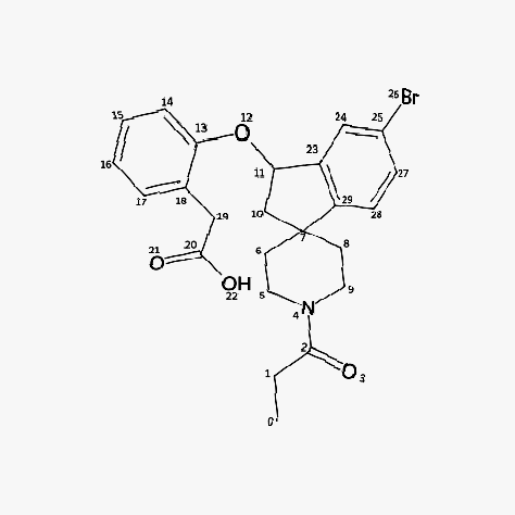 CCC(=O)N1CCC2(CC1)CC(Oc1ccccc1CC(=O)O)c1cc(Br)ccc12